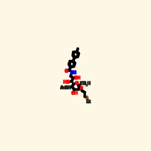 CCSCCCO[C@]1(C(=O)O)CC(O)[C@@H](NC(C)=O)[C@H](C(O)[C@H](O)CNC(=O)c2ccc(-c3ccc(C)cc3)cc2)O1